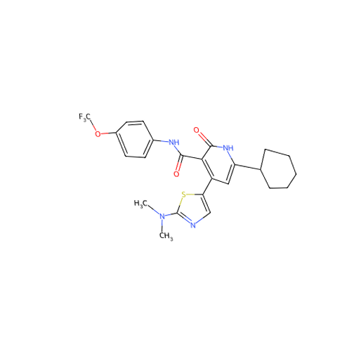 CN(C)c1ncc(-c2cc(C3CCCCC3)[nH]c(=O)c2C(=O)Nc2ccc(OC(F)(F)F)cc2)s1